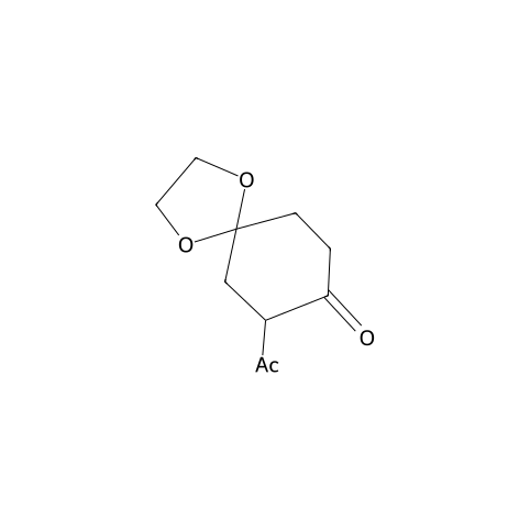 CC(=O)C1CC2(CCC1=O)OCCO2